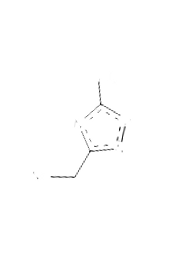 Cc1nc(CC#N)no1